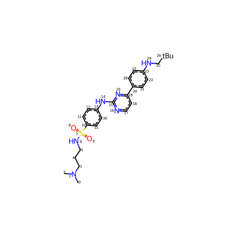 CN(C)CCCNS(=O)(=O)c1ccc(Nc2nccc(-c3ccc(NCC(C)(C)C)cc3)n2)cc1